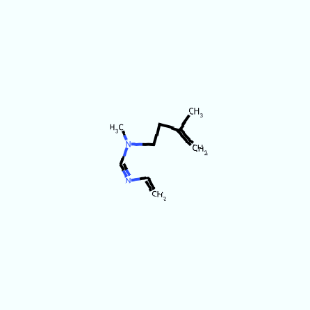 C=C/N=C\N(C)CCC(=C)C